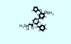 CNCC(=O)N1CCN(c2ccc(OC)c(OC3CCCC3)c2)C[C@@H]1Cc1ccccc1